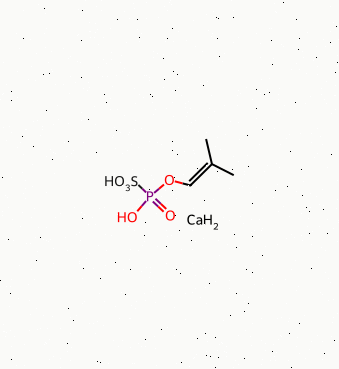 CC(C)=COP(=O)(O)S(=O)(=O)O.[CaH2]